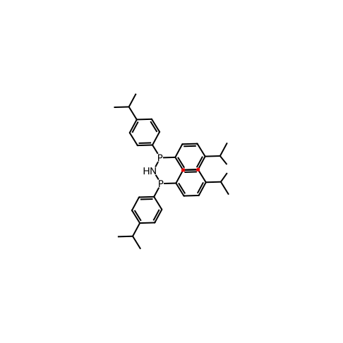 CC(C)c1ccc(P(NP(c2ccc(C(C)C)cc2)c2ccc(C(C)C)cc2)c2ccc(C(C)C)cc2)cc1